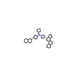 c1ccc(N(c2ccc(-c3ccc4ccccc4c3)cc2)c2ccc(-c3cc4c5ccccc5ccc4c4ccccc34)cc2)cc1